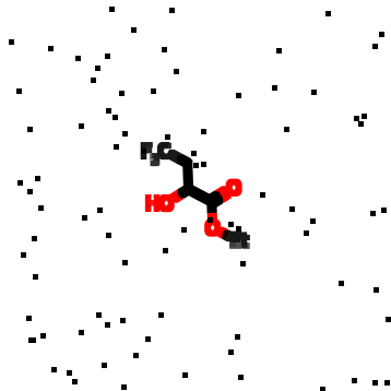 CCOC(=O)C(O)CC(F)(F)F